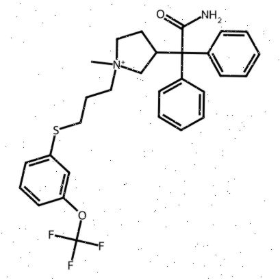 C[N+]1(CCCSc2cccc(OC(F)(F)F)c2)CCC(C(C(N)=O)(c2ccccc2)c2ccccc2)C1